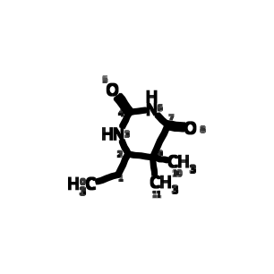 CCC1NC(=O)NC(=O)C1(C)C